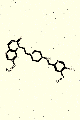 COc1cnc2ccc(=O)n(CCN3CCC(NCc4cc(OC)c(C)cn4)CC3)c2c1